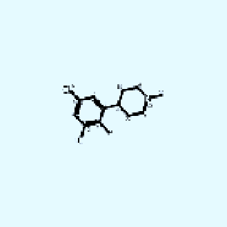 Cc1c(Cl)cc(Cl)cc1C1CCN(C)CC1